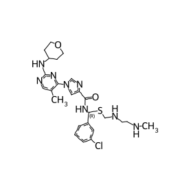 CNCCNCS[C@@H](NC(=O)c1cn(-c2nc(NC3CCOCC3)ncc2C)cn1)c1cccc(Cl)c1